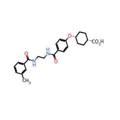 Cc1cccc(C(=O)NCCNC(=O)c2ccc(O[C@H]3CC[C@@H](C(=O)O)CC3)cc2)c1